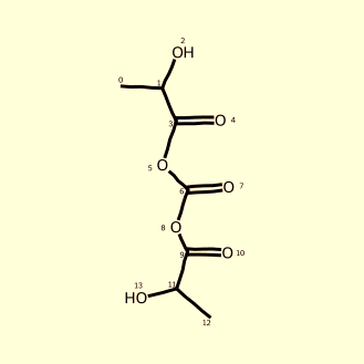 CC(O)C(=O)OC(=O)OC(=O)C(C)O